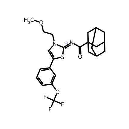 COCCn1cc(-c2cccc(OC(F)(F)F)c2)s/c1=N\C(=O)C12CC3CC(CC(C3)C1)C2